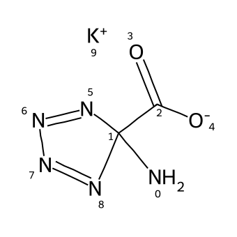 NC1(C(=O)[O-])N=NN=N1.[K+]